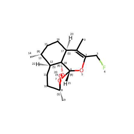 CC1=C(CF)O[C@@H]2O[C@]3(C)CC[C@H]4[C@H](C)CC[C@@H]1[C@@]24OO3